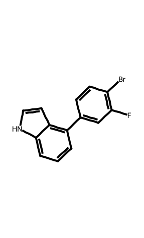 Fc1cc(-c2cccc3[nH]ccc23)ccc1Br